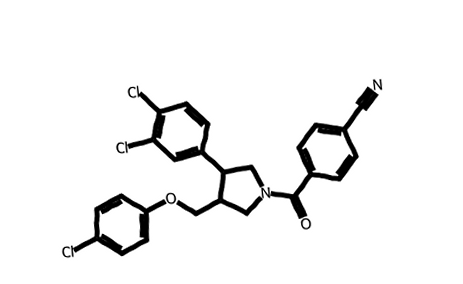 N#Cc1ccc(C(=O)N2CC(COc3ccc(Cl)cc3)C(c3ccc(Cl)c(Cl)c3)C2)cc1